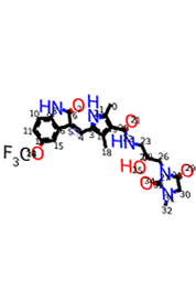 Cc1[nH]c(/C=C2\C(=O)Nc3ccc(OC(F)(F)F)cc32)c(C)c1C(=O)NC[C@@H](O)CN1C(=O)CN(C)C1=O